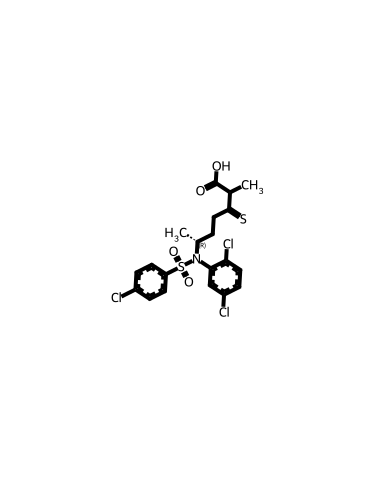 CC(C(=O)O)C(=S)CC[C@@H](C)N(c1cc(Cl)ccc1Cl)S(=O)(=O)c1ccc(Cl)cc1